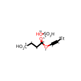 CCC#COC(=O)CCC(=O)O.O=S(=O)(O)O